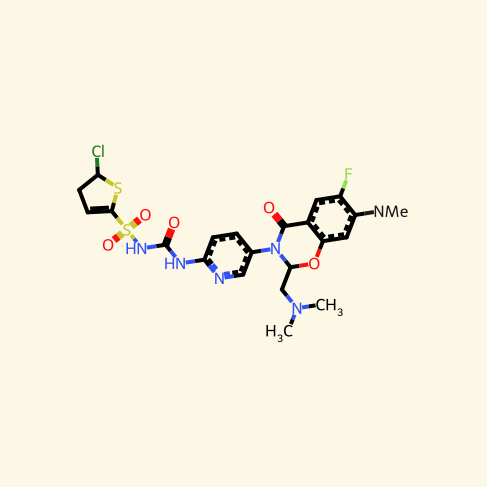 CNc1cc2c(cc1F)C(=O)N(c1ccc(NC(=O)NS(=O)(=O)C3=CCC(Cl)S3)nc1)C(CN(C)C)O2